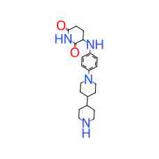 O=C1CCC(Nc2ccc(N3CCC(C4CCNCC4)CC3)cc2)C(=O)N1